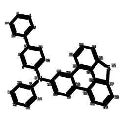 c1ccc(-c2ccc(N(c3ccccc3)c3ccc4c(c3)c3cccc5sc6cccc4c6c53)cc2)cc1